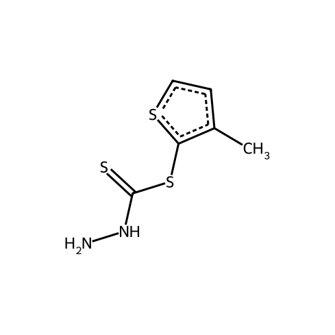 Cc1ccsc1SC(=S)NN